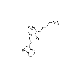 CN(CCc1c[nH]c2ccccc12)C(=O)C(N)CCCCN